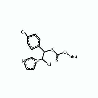 CCCCOC(=S)SC(c1ccc(Cl)cc1)C(Cl)n1ccnc1